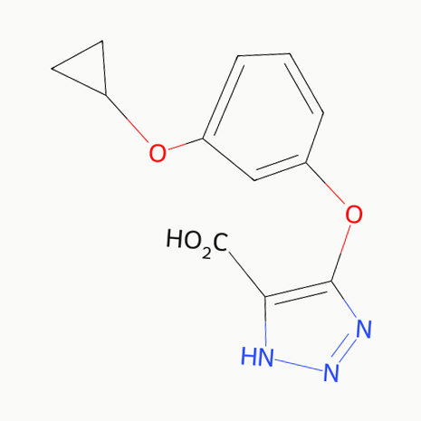 O=C(O)c1[nH]nnc1Oc1cccc(OC2CC2)c1